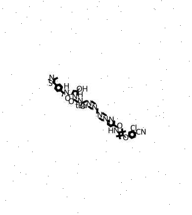 Cc1ncsc1-c1ccc([C@H](C)NC(=O)[C@@H]2C[C@@H](O)CN2C(=O)[C@@H](NC(=O)CN2CCN(CCN3CCN(c4ccc(C(=O)N[C@H]5C(C)(C)[C@H](Oc6ccc(C#N)c(Cl)c6)C5(C)C)cn4)CC3)CC2)C(C)(C)C)cc1